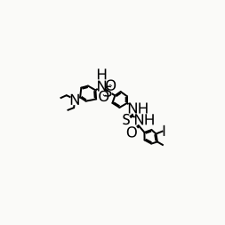 CCN(CC)c1ccc(NS(=O)(=O)c2ccc(NC(=S)NC(=O)c3ccc(C)c(I)c3)cc2)cc1